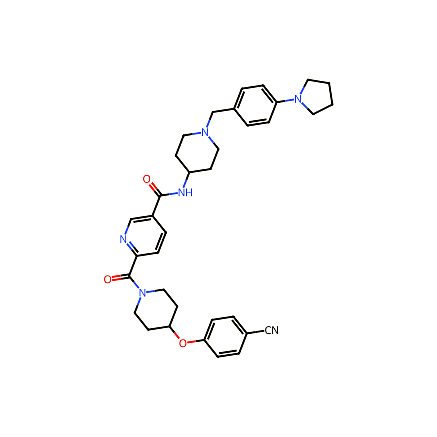 N#Cc1ccc(OC2CCN(C(=O)c3ccc(C(=O)NC4CCN(Cc5ccc(N6CCCC6)cc5)CC4)cn3)CC2)cc1